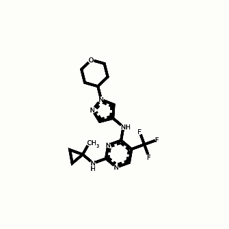 CC1(Nc2ncc(C(F)(F)F)c(Nc3cnn(C4CCOCC4)c3)n2)CC1